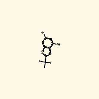 [2H]c1cc([2H])c2cc(C(C)(F)F)oc2c1